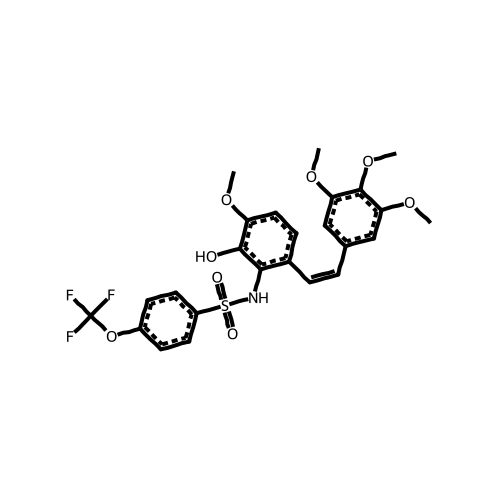 COc1ccc(/C=C\c2cc(OC)c(OC)c(OC)c2)c(NS(=O)(=O)c2ccc(OC(F)(F)F)cc2)c1O